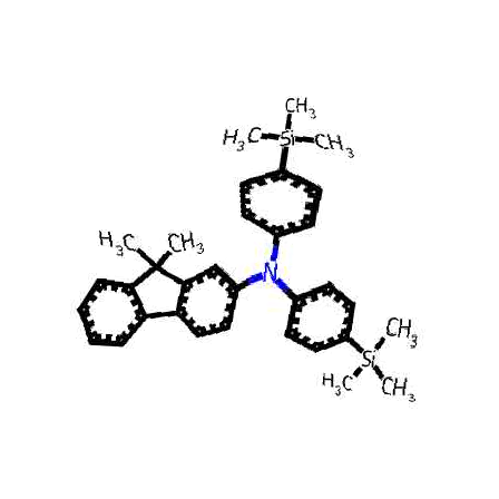 CC1(C)c2ccccc2-c2ccc(N(c3ccc([Si](C)(C)C)cc3)c3ccc([Si](C)(C)C)cc3)cc21